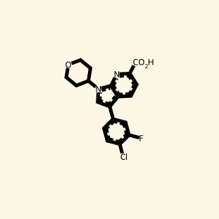 O=C(O)c1ccc2c(-c3ccc(Cl)c(F)c3)cn(C3CCOCC3)c2n1